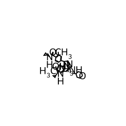 Cc1cc(-c2cnn3c(NCC4CCOCC4)cc(N[C@@H](C4CC4)C(C)(C)O)nc23)ccc1C(=O)NC1CC1